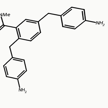 CNC(=O)c1cc(Cc2ccc(N)cc2)ccc1Cc1ccc(N)cc1